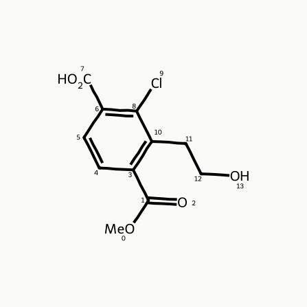 COC(=O)c1ccc(C(=O)O)c(Cl)c1CCO